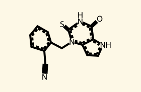 N#Cc1ccccc1Cn1c(=S)[nH]c(=O)c2[nH]ccc21